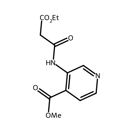 CCOC(=O)CC(=O)Nc1cnccc1C(=O)OC